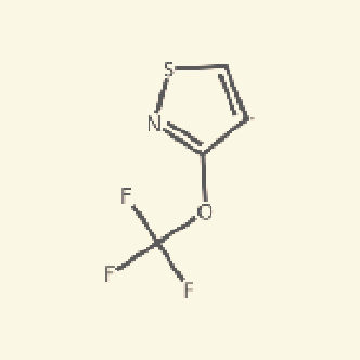 FC(F)(F)Oc1[c]csn1